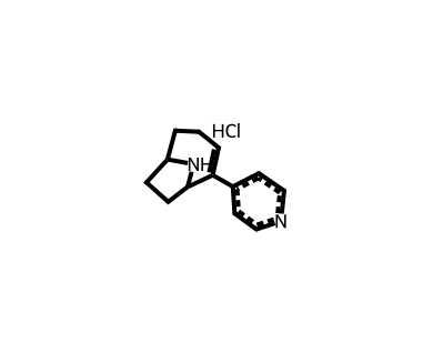 C1=C(c2ccncc2)C2CCC(CC1)N2.Cl